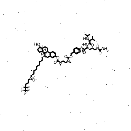 CC(C)N[C@H](C(=O)N[C@@H](CCCNC(N)=O)C(=O)Nc1ccc(COC(=O)N(C)CCN(C)C(=O)Oc2ccc3c(c2)C[C@@H](CCCCCCCCC[S+]([O-])CCCC(F)(F)C(F)(F)F)[C@@H]2C3CC[C@]3(C)[C@@H](O)CC[C@@H]23)cc1)C(C)C